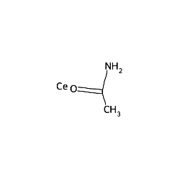 CC(N)=O.[Ce]